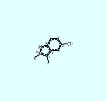 Cc1c2cc(Cl)ccc2nn1C